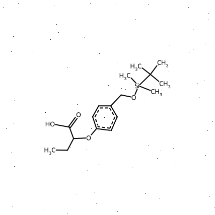 CCC(Oc1ccc(CO[Si](C)(C)C(C)(C)C)cc1)C(=O)O